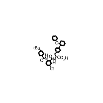 CC(C)(C)c1ccc(C(=O)Nc2ccc(Cl)cc2C(=O)N[C@@H](Cc2ccc(-c3ccccc3Oc3ccccc3)cc2)C(=O)O)cc1